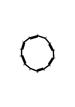 C1=CC=CCC=CC=CC=CCC=C1